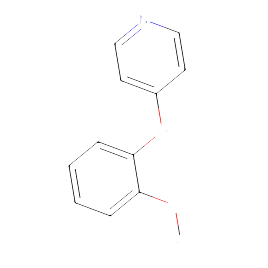 FC(F)(F)Oc1ccccc1Oc1ccncc1